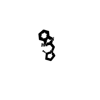 C[C@H]1CCCN1Cc1nc2ccccc2[nH]1